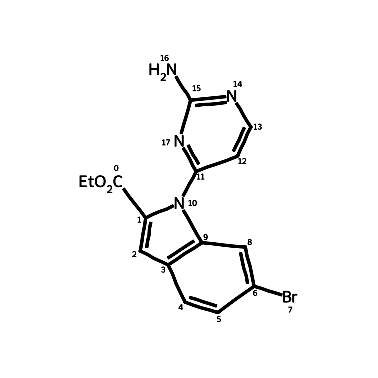 CCOC(=O)c1cc2ccc(Br)cc2n1-c1ccnc(N)n1